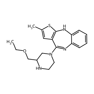 CCOCC1CN(C2=Nc3ccccc3Nc3sc(C)cc32)CCN1